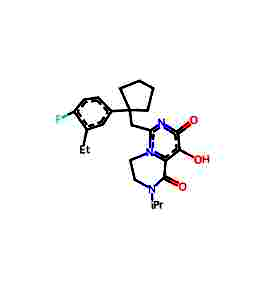 CCc1cc(C2(Cc3nc(=O)c(O)c4n3CCN(C(C)C)C4=O)CCCC2)ccc1F